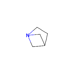 C1CN2CC1C2